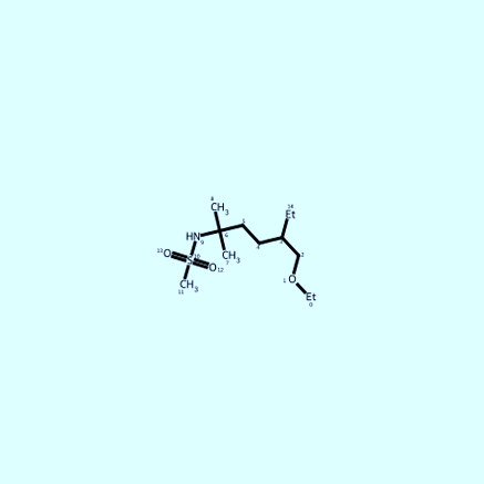 CCOCC([CH]CC(C)(C)NS(C)(=O)=O)CC